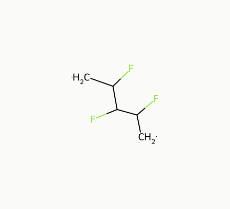 [CH2]C(F)C(F)C([CH2])F